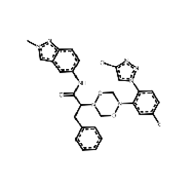 Cn1cc2cc(NC(=O)C(Cc3ccccc3)N3CON(c4cc(Cl)ccc4-n4cc(Cl)nn4)CO3)ccc2n1